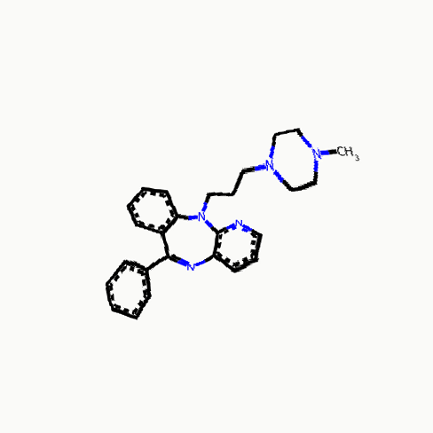 CN1CCN(CCCN2c3ccccc3C(c3ccccc3)=Nc3cccnc32)CC1